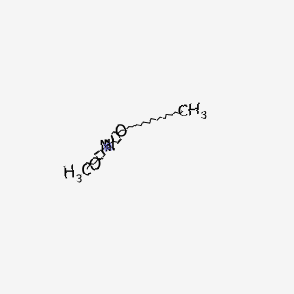 CCCCCCCCCCCCCCCCOc1ccc(/N=N/c2ccc(OCC)cc2)cc1